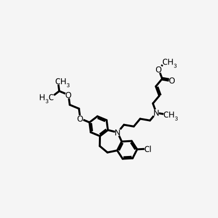 COC(=O)/C=C/CN(C)CCCCN1c2ccc(OCCOC(C)C)cc2CCc2ccc(Cl)cc21